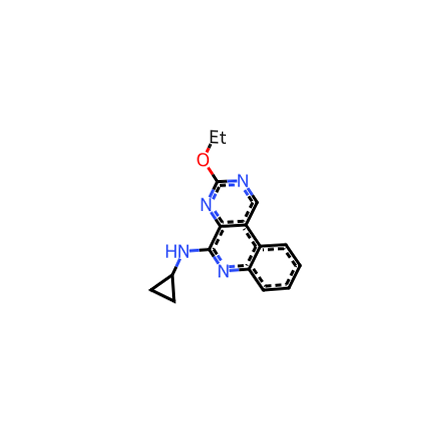 CCOc1ncc2c(n1)c(NC1CC1)nc1ccccc12